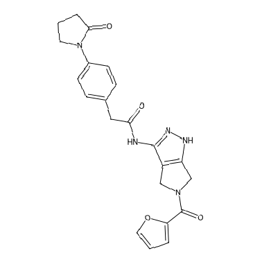 O=C(Cc1ccc(N2CCCC2=O)cc1)Nc1n[nH]c2c1CN(C(=O)c1ccco1)C2